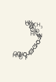 C[C@@H]1CNC(=O)c2cc3ccc(C(=O)Nc4cnn(Cc5ccc(N6CCC(N7CCN(Cc8ccc(N9CCC(=O)NC9=O)cc8F)CC7)CC6)cc5)c4)nc3n21